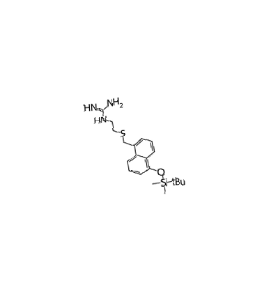 CC(C)(C)[Si](C)(C)Oc1cccc2c(CSCCNC(=N)N)cccc12